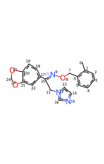 Cc1ccccc1CO/N=C(\Cn1ccnc1)c1ccc2c(c1)OCO2